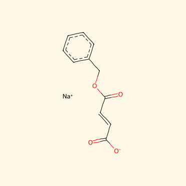 O=C([O-])C=CC(=O)OCc1ccccc1.[Na+]